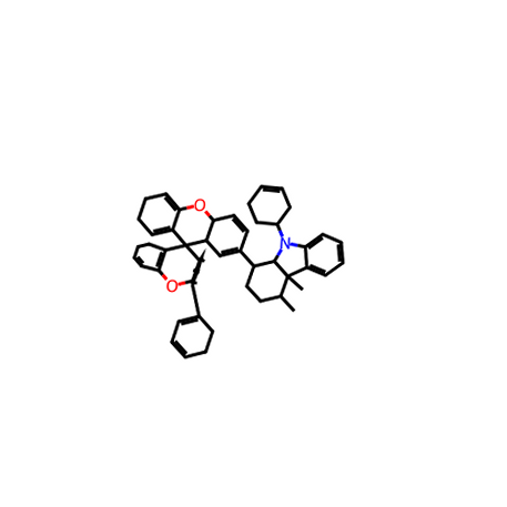 CC1CCC(C2=CC3C(C=C2)OC2=CCCC=C2C32C3=C(C=CCC3)Oc3c(C4=CC=CCC4)cccc32)C2N(C3CC=CCC3)c3ccccc3C12C